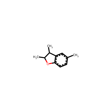 Cc1ccc2c(c1)C(C)C(C)O2